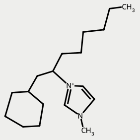 CCCCCCC(CC1CCCCC1)[n+]1ccn(C)c1